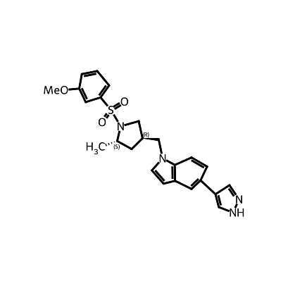 COc1cccc(S(=O)(=O)N2C[C@@H](Cn3ccc4cc(-c5cn[nH]c5)ccc43)C[C@@H]2C)c1